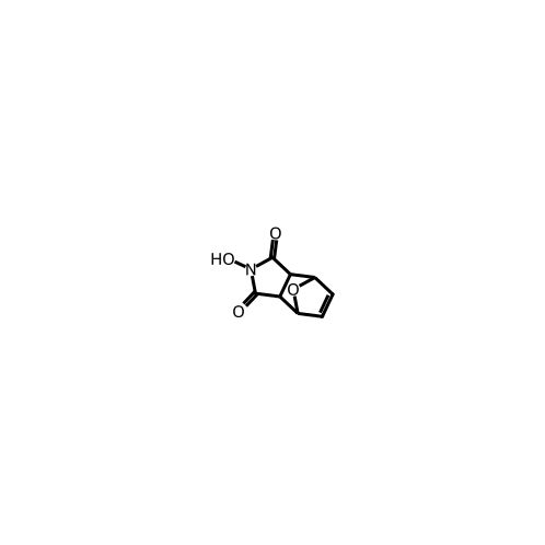 O=C1C2C3C=CC(O3)C2C(=O)N1O